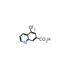 O=C(O)c1cc(C(F)(F)F)c2cccnc2c1